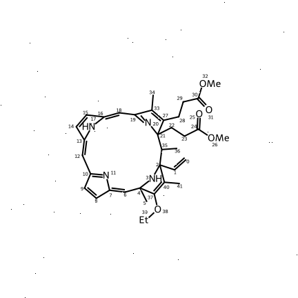 C=CC12NC(C)(C=C3C=CC(=N3)C=c3ccc([nH]3)=CC3=NC(CCC(=O)OC)(C(CCC(=O)OC)=C3C)C1C)C(OCC)=C2C